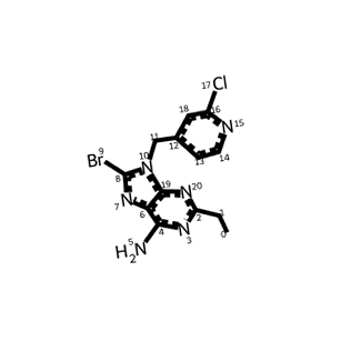 CCc1nc(N)c2nc(Br)n(Cc3ccnc(Cl)c3)c2n1